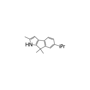 Cc1cc2c([nH]1)C(C)(C)c1cc(C(C)C)ccc1-2